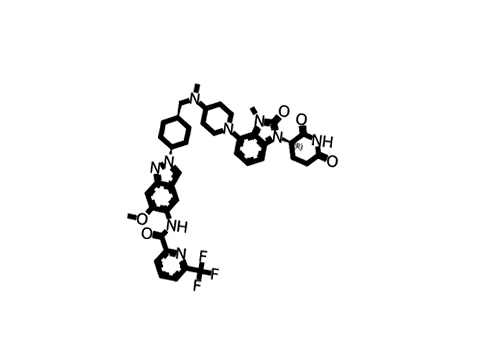 COc1cc2nn([C@H]3CC[C@H](CN(C)C4CCN(c5cccc6c5n(C)c(=O)n6[C@@H]5CCC(=O)NC5=O)CC4)CC3)cc2cc1NC(=O)c1cccc(C(F)(F)F)n1